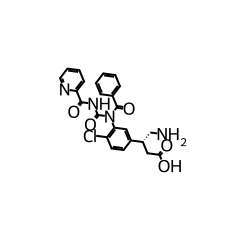 NC[C@H](CC(=O)O)c1ccc(Cl)c(N(C(=O)NC(=O)c2ccccn2)C(=O)c2ccccc2)c1